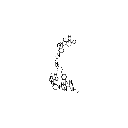 CN1CCN([C@@H]2CCCN(c3cnc(C(N)=O)c(Nc4ccc(C5CCC6(CC5)CN(CC5CN(c7ccc8c(C9CCC(=O)NC9=O)noc8c7)C5)C6)cc4)n3)C2)C1=O